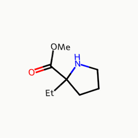 CCC1(C(=O)OC)CCCN1